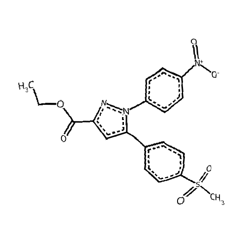 CCOC(=O)c1cc(-c2ccc(S(C)(=O)=O)cc2)n(-c2ccc([N+](=O)[O-])cc2)n1